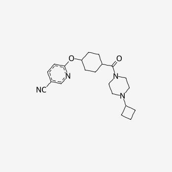 N#Cc1ccc(OC2CCC(C(=O)N3CCN(C4CCC4)CC3)CC2)nc1